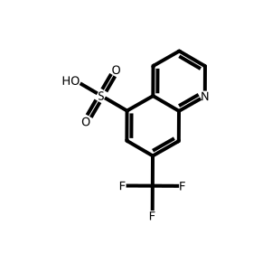 O=S(=O)(O)c1cc(C(F)(F)F)cc2ncccc12